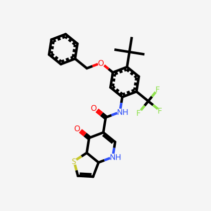 CC(C)(C)c1cc(C(F)(F)F)c(NC(=O)C2=CNC3C=CSC3C2=O)cc1OCc1ccccc1